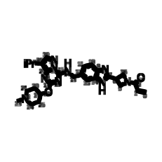 C=CC(=O)N1CC(c2nc3ccc(CNc4nc(OC5CCN(C)CC5)nc5c(C(C)C)cnn45)cc3[nH]2)C1